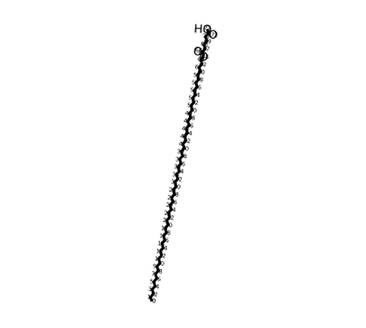 CCCCCCCCCCCCCCCCCCCCCCCCCCCCCCCCCCCCCCCCCCCCCCCCCCCCCCCCCCCCCCCCOC(=O)CCCCC(=O)O